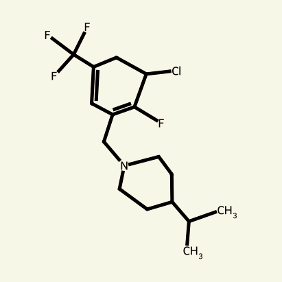 CC(C)C1CCN(CC2=C(F)C(Cl)CC(C(F)(F)F)=C2)CC1